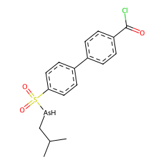 CC(C)C[AsH]S(=O)(=O)c1ccc(-c2ccc(C(=O)Cl)cc2)cc1